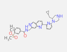 Cc1ccc(C(=O)NCc2cc3nc(-c4cccc(N5CCNCC5CC5CC5)n4)ccc3cn2)cc1S(C)(=O)=O